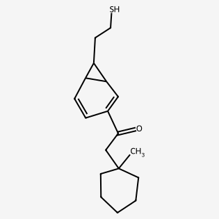 CC1(CC(=O)C2=CC3C(C=C2)C3CCS)CCCCC1